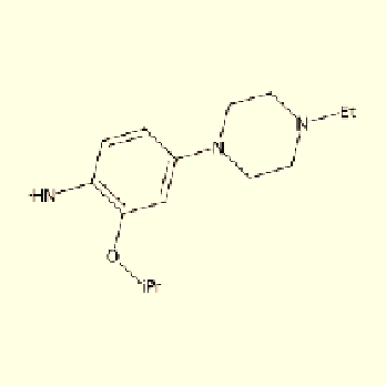 CCN1CCN(c2ccc([NH])c(OC(C)C)c2)CC1